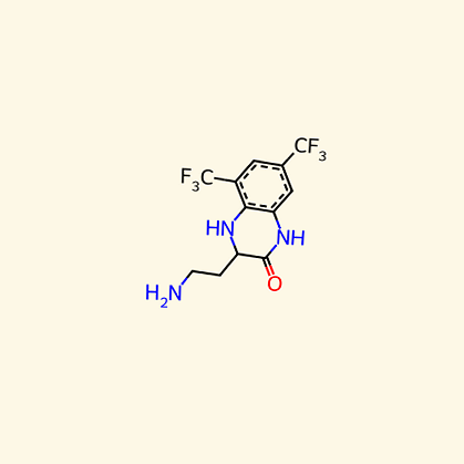 NCCC1Nc2c(cc(C(F)(F)F)cc2C(F)(F)F)NC1=O